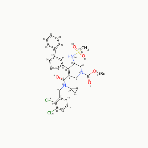 CC(C)(C)OC(=O)N1CC(C(=O)N(Cc2cccc(Cl)c2Cl)C2CC2)=C(c2cccc(-c3ccccc3)c2)C(NS(C)(=O)=O)C1